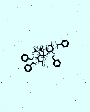 C=CC[C@@]1(O[C@@H]2[C@H](OCc3ccccc3)[C@@H](OCc3ccccc3)[C@H](C)O[C@H]2O)O[C@@H](C)[C@H](OCc2ccccc2)[C@@H](OCc2ccccc2)[C@H]1OC(C)=O